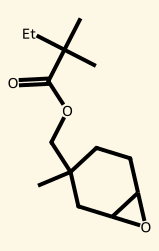 CCC(C)(C)C(=O)OCC1(C)CCC2OC2C1